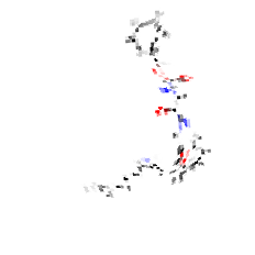 O=C(O)CCC/C=C\C[C@@H]1[C@H](CNC(=O)CNC(=O)OCc2ccccc2)[C@@H]2CC[C@H]1O2